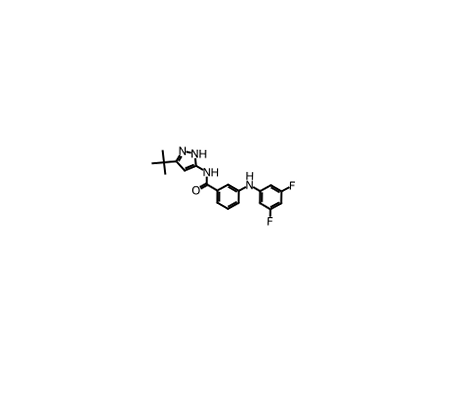 CC(C)(C)c1cc(NC(=O)c2cccc(Nc3cc(F)cc(F)c3)c2)[nH]n1